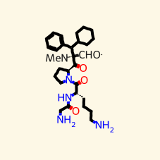 CN[C@]([C]=O)(C(=O)[C@@H]1CCCN1C(=O)[C@H](CCCCN)NC(=O)CN)C(c1ccccc1)C1CCCCC1